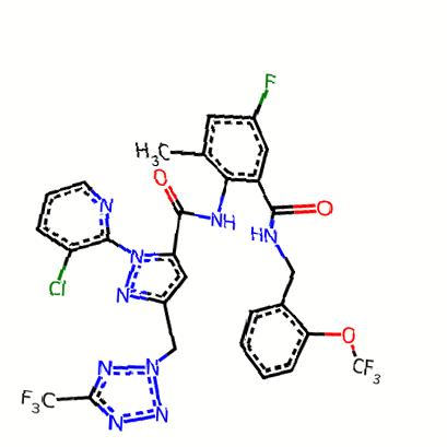 Cc1cc(F)cc(C(=O)NCc2ccccc2OC(F)(F)F)c1NC(=O)c1cc(Cn2nnc(C(F)(F)F)n2)nn1-c1ncccc1Cl